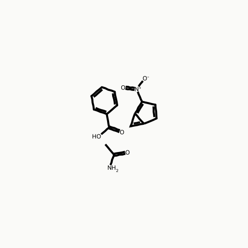 CC(N)=O.O=C(O)c1ccccc1.O=[N+]([O-])c1ccc2cc1-2